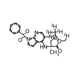 [2H]COC(=O)[C@](C)(COC([2H])([2H])[2H])Nc1c([N+](=O)[O-])cnc2c1ccn2S(=O)(=O)c1ccccc1